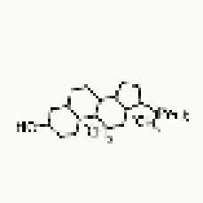 CCCC(C)C1CCC2C3CCC4CC(O)CC[C@]4(C)C3CC[C@]12C